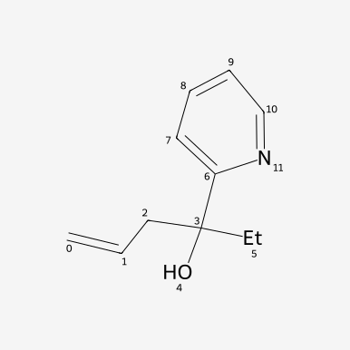 C=CCC(O)(CC)c1ccccn1